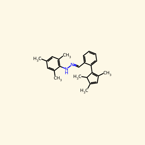 CC1=CC(C)=C(c2ccccc2/C=N/Nc2c(C)cc(C)cc2C)C1C